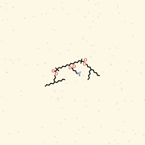 CCCCCC(CCCCC)CCCOC(=O)C(C)(C)CCCCCC(CCCCCC(C)(C)C(=O)OCCCC(CCCCC)CCCCC)OC(=O)CCCN(C)C